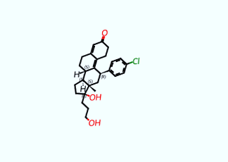 C[C@]12C[C@H](c3ccc(Cl)cc3)C3=C4CCC(=O)C=C4CC[C@H]3[C@@H]1CC[C@@]2(O)CCCO